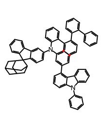 c1ccc(-c2ccccc2-c2ccccc2-c2ccccc2N(c2cccc(-c3cccc4c3c3ccccc3n4-c3ccccc3)c2)c2ccc3c(c2)-c2ccccc2C32C3CC4CC(C3)CC2C4)cc1